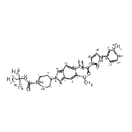 COc1cc2nn(C3CCN(C(=O)OC(C)(C)C)CC3)cc2cc1NC(=O)c1ccn(-c2ccnc(C)c2)n1